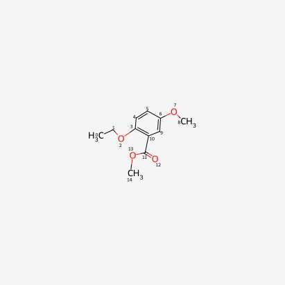 CCOc1ccc(OC)cc1C(=O)OC